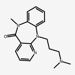 CN(C)CCCN1c2ccccc2N(C)C(=O)c2cccnc21